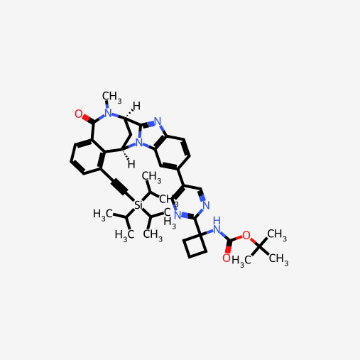 CC(C)[Si](C#Cc1cccc2c1[C@H]1C[C@H](c3nc4ccc(-c5cnc(C6(NC(=O)OC(C)(C)C)CCC6)nc5)cc4n31)N(C)C2=O)(C(C)C)C(C)C